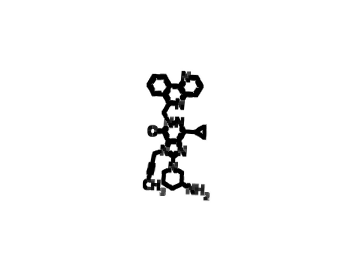 CC#CCn1c(N2CCCC(N)C2)nc2c(C3CC3)nn(Cc3nc4cccnc4c4ccccc34)c(=O)c21